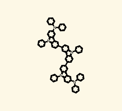 c1ccc(N(c2ccccc2)c2ccc3c(c2)c2cc(-c4ccc5c(c4)c4cc(-c6ccc7c(c6)c6cc(N(c8ccccc8)c8ccccc8)ccc6n7-c6ccccc6)ccc4n5-c4ccccc4)ccc2n3-c2ccccc2)cc1